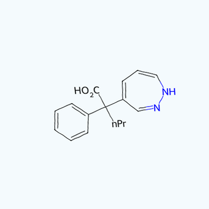 CCCC(C(=O)O)(C1=CC=CNN=C1)c1ccccc1